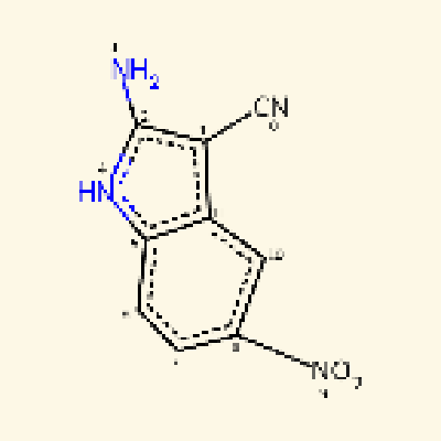 N#Cc1c(N)[nH]c2ccc([N+](=O)[O-])cc12